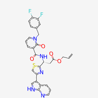 C=CCOC(=O)C[C@@H](NC(=O)c1cccn(Cc2ccc(F)c(F)c2)c1=O)c1nc(-c2c[nH]c3ncccc23)cs1